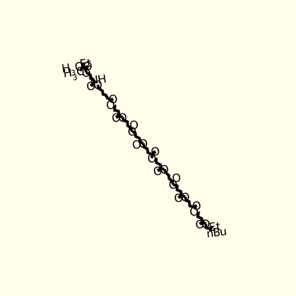 CCCCC(CC)COC(=O)CCCOC(=O)CCCOC(=O)CCCOC(=O)CCCOC(=O)CCCOC(=O)CCCOC(=O)CCCOC(=O)CCCOC(=O)CCCOC(=O)CCCCCOC(=O)NCCOC(=O)C(C)(C)CC